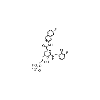 COP(=O)(O)OCC(O)C[C@@H](COC(=O)Nc1cc2cc(F)ccc2cn1)N(C)C(=O)NCc1cccc(F)c1Cl